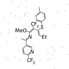 CC/C=C(Sc1ccc(C)cc1)/C(=C(\N=C(/C)c1ccc(C(F)(F)F)nc1)OC)C(F)(F)F